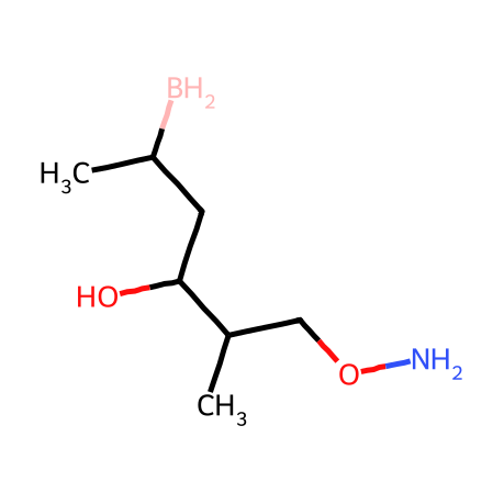 BC(C)CC(O)C(C)CON